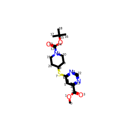 COC(=O)c1cc(SC2CCN(C(=O)OC(C)(C)C)CC2)ncn1